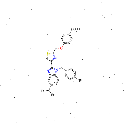 CCOC(=O)c1ccc(OCc2nc(-c3nc4cc(C(CC)CC)ccc4n3Cc3ccc(C(C)C)cc3)cs2)cc1